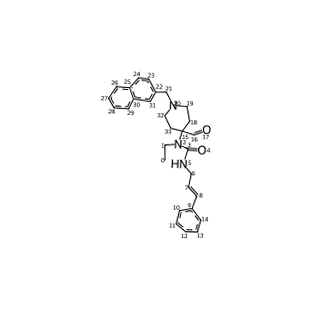 CCN(C(=O)NC/C=C/c1ccccc1)C1(C=O)CCN(Cc2ccc3ccccc3c2)CC1